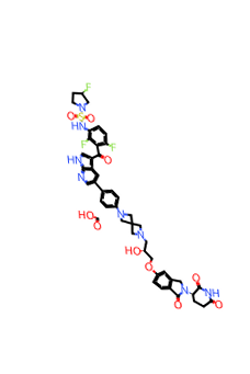 O=C1CC[C@H](N2Cc3cc(OC[C@H](O)CN4CC5(C4)CN(c4ccc(-c6cnc7[nH]cc(C(=O)c8c(F)ccc(NS(=O)(=O)N9CC[C@@H](F)C9)c8F)c7c6)cc4)C5)ccc3C2=O)C(=O)N1.O=CO